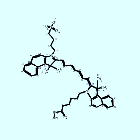 CCCNC(=O)CCCCCN1\C(=C/C=C/C=C/C=C/C2=[N+](CCCCS(=O)(=O)[O-])c3ccc4ccccc4c3C2(C)C)C(C)(C)c2c1ccc1ccccc21